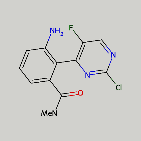 CNC(=O)c1cccc(N)c1-c1nc(Cl)ncc1F